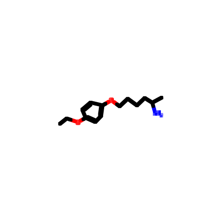 CCOc1ccc(OCCCCC(C)N)cc1